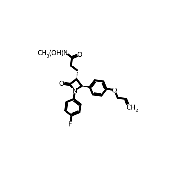 C=CCOc1ccc([C@@H]2[C@@H](CCC(=O)N(C)O)C(=O)N2c2ccc(F)cc2)cc1